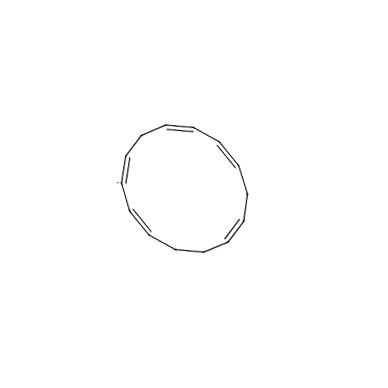 [C]1=CCC=CC=CCC=CCCC=C1